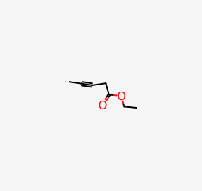 [CH2]C#CCC(=O)OCC